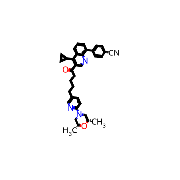 C[C@@H]1CN(c2ccc(CCCCC(=O)c3cnc4c(-c5ccc(C#N)cc5)cccc4c3C3CC3)cn2)C[C@H](C)O1